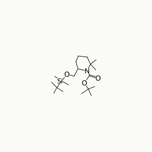 CC(C)(C)OC(=O)N1C(CO[Si](C)(C)C(C)(C)C)CCCC1(C)C